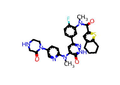 CN(C(=O)c1cc2c(s1)CCCC2)c1cc(-c2cc(N(C)c3ccc(N4CCNCC4=O)cn3)c(=O)[nH]n2)ccc1F